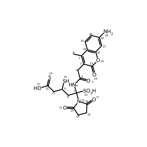 Cc1c(CC(=O)NC(CC(S)CC(O)=S)(N2C(=O)CCC2=O)S(=O)(=O)O)c(=O)oc2cc(N)ccc12